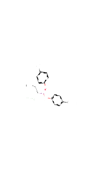 Br.Cc1ccc(OP(CCC(C)C)Oc2ccc(C)cc2)cc1